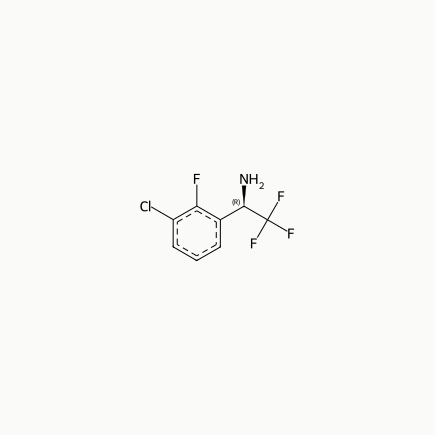 N[C@H](c1cccc(Cl)c1F)C(F)(F)F